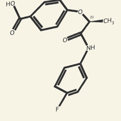 C[C@H](Oc1ccc(C(=O)O)cc1)C(=O)Nc1ccc(F)cc1